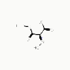 COC(=O)/C(=N\O)C(C)=O